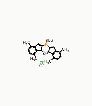 CCCCP1C2=Cc3c(C)ccc(C)c3[CH]2[Zr+2][CH]2C1=Cc1c(C)ccc(C)c12.[Cl-].[Cl-]